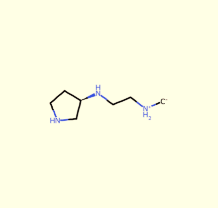 [CH2-][NH2+]CCN[C@@H]1CCNC1